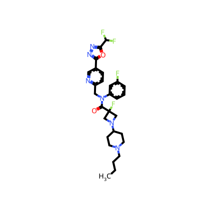 CCCCN1CCC(N2CC(F)(C(=O)N(Cc3ccc(-c4nnc(C(F)F)o4)cn3)c3cccc(F)c3)C2)CC1